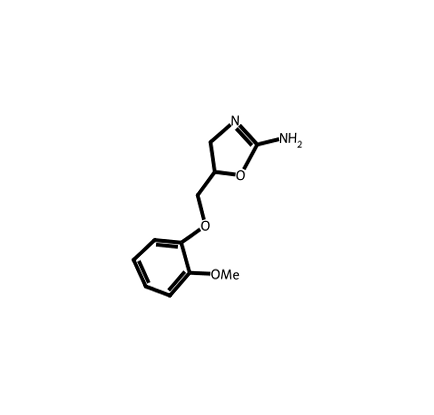 COc1ccccc1OCC1CN=C(N)O1